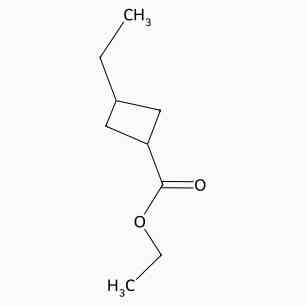 CCOC(=O)C1CC(CC)C1